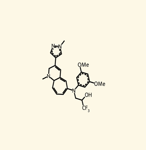 COc1cc(OC)cc(N(CC(O)C(F)(F)F)C2=CC=CC3C(=C2)C=C(c2cnn(C)c2)CN3C)c1